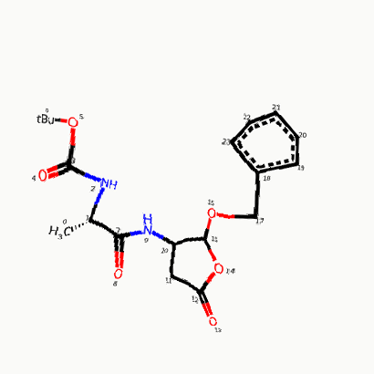 C[C@H](NC(=O)OC(C)(C)C)C(=O)NC1CC(=O)OC1OCc1ccccc1